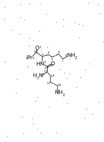 CC(C)C(=O)C(CCCCN)NC(=O)C(N)CCCN